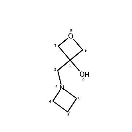 OC1(CN2C[CH]C2)COC1